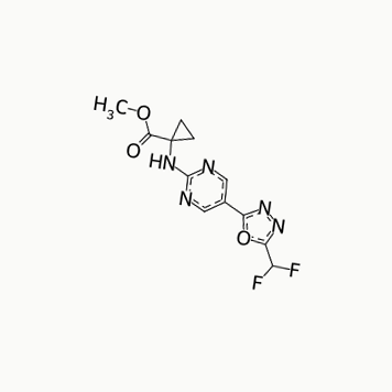 COC(=O)C1(Nc2ncc(-c3nnc(C(F)F)o3)cn2)CC1